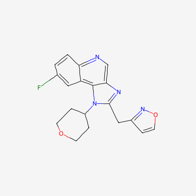 Fc1ccc2ncc3nc(Cc4ccon4)n(C4CCOCC4)c3c2c1